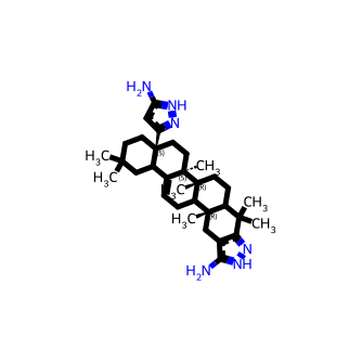 CC1(C)CC[C@]2(c3cc(N)[nH]n3)CC[C@]3(C)C(=CCC4[C@@]5(C)Cc6c(n[nH]c6N)C(C)(C)C5CC[C@]43C)C2C1